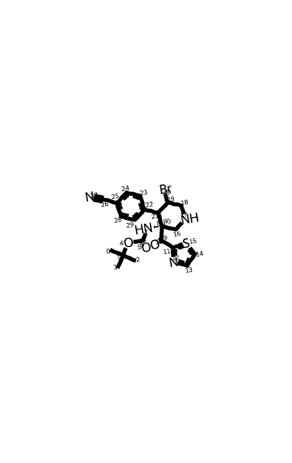 CC(C)(C)OC(=O)N[C@@]1(C(=O)c2nccs2)CNCC(Br)C1c1ccc(C#N)cc1